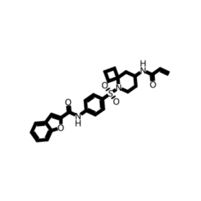 C=CC(=O)NC1CCN(S(=O)(=O)c2ccc(NC(=O)c3cc4ccccc4o3)cc2)C2(CCC2)C1